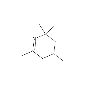 CC1=NC(C)(C)CC(C)C1